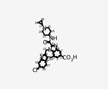 O=C(O)c1cc(Cl)c2c(c1)nc(C(=O)NC1CCN(C3CC3)CC1)n2Cc1cc2ccc(Cl)cc2s1